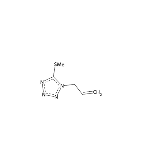 [CH2]Sc1nnnn1CC=C